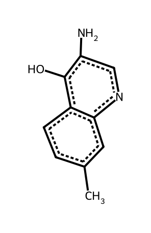 Cc1ccc2c(O)c(N)cnc2c1